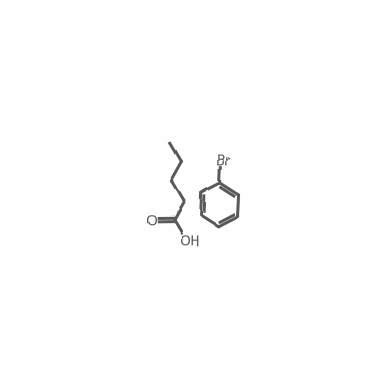 Brc1ccccc1.CCCCC(=O)O